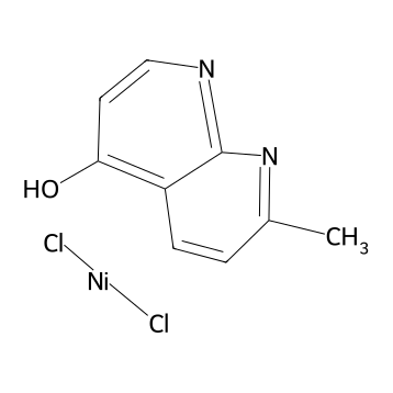 Cc1ccc2c(O)ccnc2n1.[Cl][Ni][Cl]